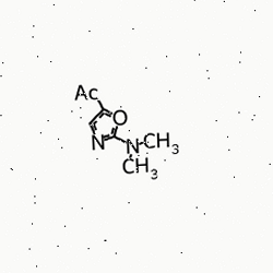 CC(=O)c1cnc(N(C)C)o1